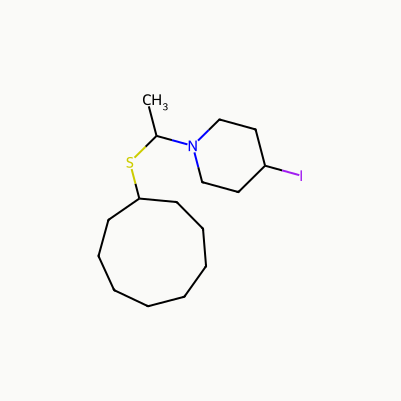 CC(SC1CCCCCCCC1)N1CCC(I)CC1